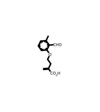 C=C(CCOc1cccc(C)c1C=O)C(=O)O